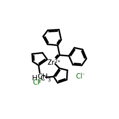 CC1=[C]([Zr+2]([C]2=C(C)C=CC2)=[C](c2ccccc2)c2ccccc2)CC=C1.[Cl-].[Cl-]